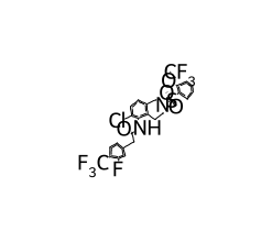 O=C(Cc1ccc(C(F)(F)F)c(F)c1)Nc1c(Cl)ccc2c1CCN(S(=O)(=O)c1ccccc1OC(F)(F)F)C2